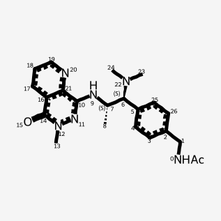 CC(=O)NCc1ccc([C@@H]([C@H](C)Nc2nn(C)c(=O)c3cccnc23)N(C)C)cc1